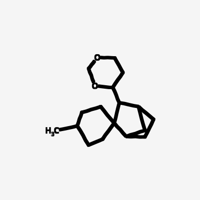 CC1CCC2(CC1)C1CCC(C1)C2C1CCOCO1